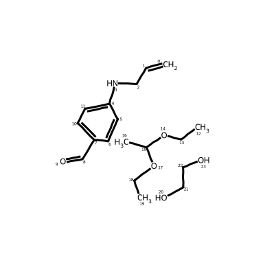 C=CCNc1ccc(C=O)cc1.CCOC(C)OCC.OCCO